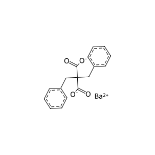 O=C([O-])C(Cc1ccccc1)(Cc1ccccc1)C(=O)[O-].[Ba+2]